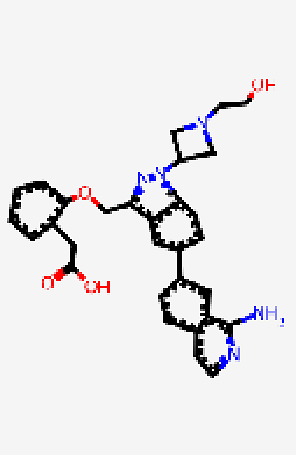 Nc1nccc2ccc(-c3ccc4c(c3)c(COc3ccccc3CC(=O)O)nn4C3CN(CCO)C3)cc12